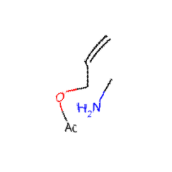 C=CCOC(C)=O.CN